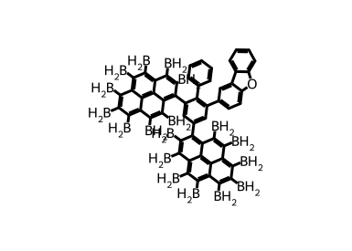 Bc1c(B)c2c(B)c(B)c3c(B)c(B)c(-c4cc(-c5ccc6oc7ccccc7c6c5)c(-c5ccccc5)c(-c5c(B)c(B)c6c(B)c(B)c7c(B)c(B)c(B)c8c(B)c(B)c5c6c78)c4)c4c(B)c(B)c(c1B)c2c34